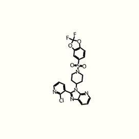 O=S(=O)(c1ccc2c(c1)OC(F)(F)O2)N1CCC(n2c(-c3cccnc3Cl)nc3cccnc32)CC1